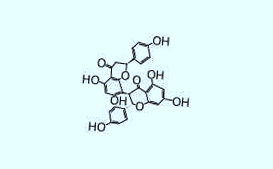 O=C1C[C@@H](c2ccc(O)cc2)Oc2c1c(O)cc(O)c2[C@H]1C(=O)c2c(O)cc(O)cc2O[C@@H]1c1ccc(O)cc1